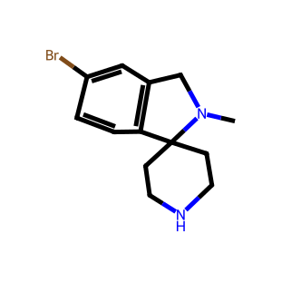 CN1Cc2cc(Br)ccc2C12CCNCC2